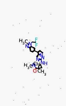 Cc1nc2ccc(-c3ccn4nc(N[C@H]5C[C@@](C)(C(=O)N(C)C)C5)ncc34)cc2n1CC(F)F